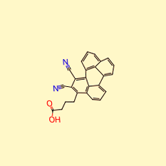 N#Cc1c(CCCC(=O)O)c2cccc3c4cccc5cccc(c(c1C#N)c23)c54